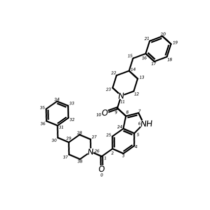 O=C(c1ccc2[nH]cc(C(=O)N3CCC(Cc4ccccc4)CC3)c2c1)N1CCC(Cc2ccccc2)CC1